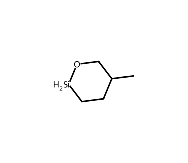 CC1CC[SiH2]OC1